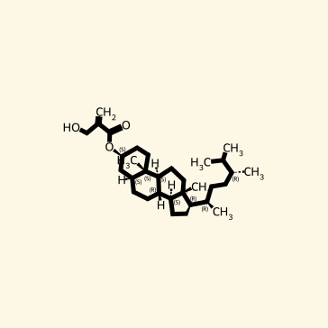 C=C(CO)C(=O)O[C@H]1CC[C@@]2(C)[C@@H](CC[C@@H]3[C@@H]2CC[C@]2(C)[C@@H]([C@H](C)CC[C@@H](C)C(C)C)CC[C@@H]32)C1